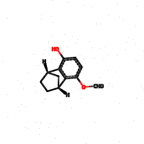 O=COc1ccc(O)c2c1[C@@H]1CC[C@H]2C1